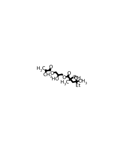 C=C(C)C(=O)OCC(O)COC(=O)C(C)(CC(C)(C)CC)C(C)C